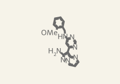 COc1ccccc1CNc1cc(-c2c(N)nn3cccnc23)ncn1